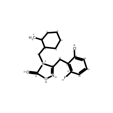 CC1CCCCC1Cn1c(Cc2c(F)cccc2Cl)noc1=O